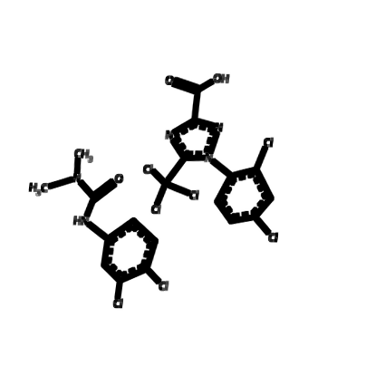 CN(C)C(=O)Nc1ccc(Cl)c(Cl)c1.O=C(O)c1nc(C(Cl)(Cl)Cl)n(-c2ccc(Cl)cc2Cl)n1